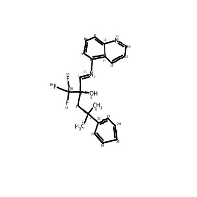 CC(C)(CC(O)(/C=N/c1cccc2ncccc12)C(F)(F)F)c1ccccc1